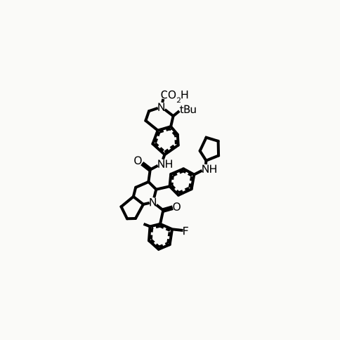 Cc1cccc(F)c1C(=O)N1C2CCCC2CC(C(=O)Nc2ccc3c(c2)CCN(C(=O)O)C3C(C)(C)C)C1c1ccc(NC2CCCC2)cc1